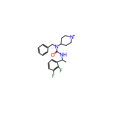 CC(NC(=O)N(Cc1ccccc1)C1CCN(C)CC1)c1cccc(F)c1F